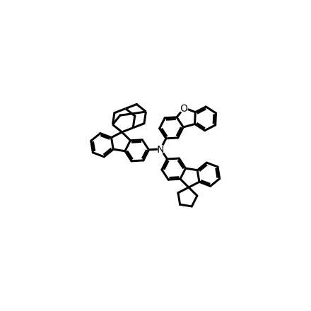 c1ccc2c(c1)-c1cc(N(c3ccc4c(c3)C3(c5ccccc5-4)C4CC5CC(C4)CC3C5)c3ccc4oc5ccccc5c4c3)ccc1C21CCCC1